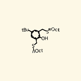 CCCCCCCCSCc1cc(C(C)(C)C)cc(CSCCCCCCCC)c1O